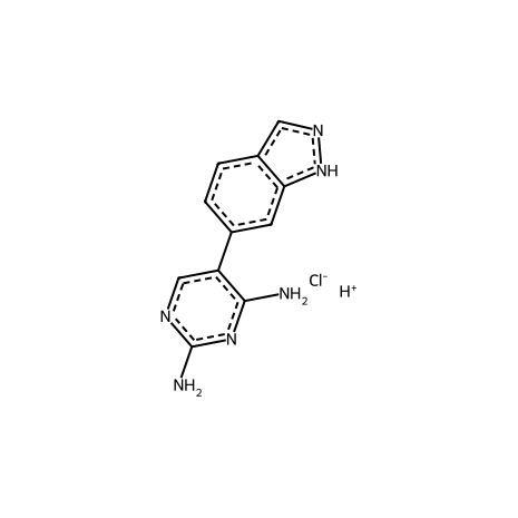 Nc1ncc(-c2ccc3cn[nH]c3c2)c(N)n1.[Cl-].[H+]